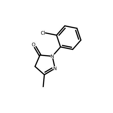 CC1=NN(c2ccccc2Cl)C(=O)C1